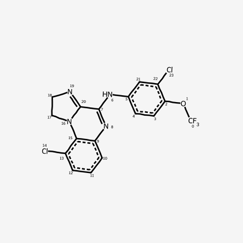 FC(F)(F)Oc1ccc(NC2=Nc3cccc(Cl)c3N3CCN=C23)cc1Cl